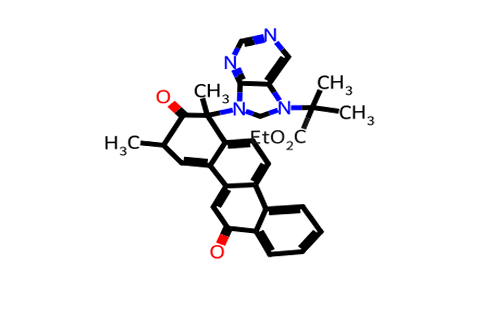 CCOC(=O)C(C)(C)N1CN(C2(C)C(=O)C(C)C=c3c2ccc2c3=CC(=O)c3ccccc3-2)c2ncncc21